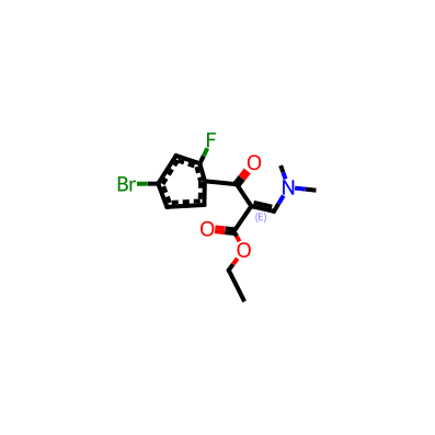 CCOC(=O)/C(=C/N(C)C)C(=O)c1ccc(Br)cc1F